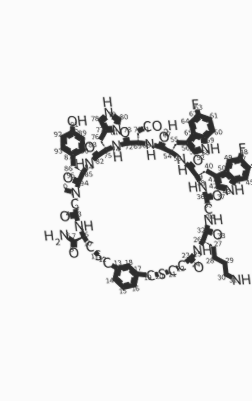 CN1CC(=O)N[C@H](C(N)=O)CSCc2cccc(c2)CSCCC(=O)N[C@@H](CCCCN)C(=O)NCC(=O)N[C@@H](Cc2c[nH]c3ccc(F)cc23)C(=O)N[C@@H](Cc2c[nH]c3ccc(F)cc23)C(=O)N[C@@H](CC(=O)O)C(=O)N[C@@H](Cc2c[nH]cn2)C(=O)N[C@@H](Cc2ccc(O)cc2)C1=O